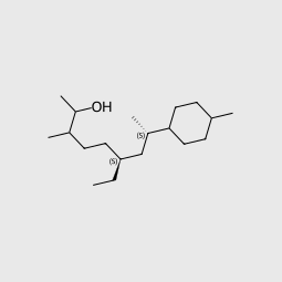 CC[C@@H](CCC(C)C(C)O)C[C@H](C)C1CCC(C)CC1